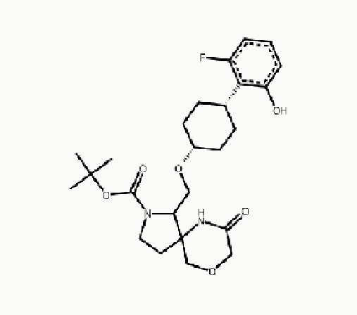 CC(C)(C)OC(=O)N1CCC2(COCC(=O)N2)C1CO[C@H]1CC[C@@H](c2c(O)cccc2F)CC1